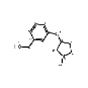 CN1CCC(Oc2cccc(CO)c2)C1